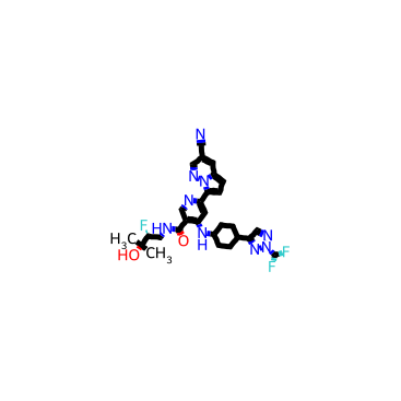 CC(C)(O)[C@H](F)CNC(=O)c1cnc(-c2ccc3cc(C#N)cnn23)cc1NC1CCC(c2cnn(C(F)F)n2)CC1